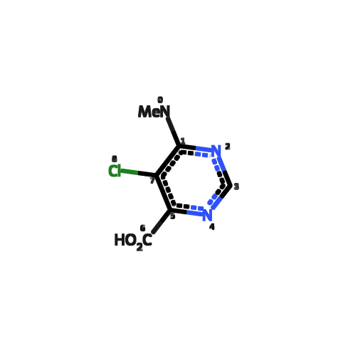 CNc1ncnc(C(=O)O)c1Cl